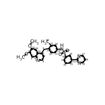 COc1cc2nccc(Cc3ccc(NS(=O)(=O)c4cccc(-c5ncccn5)c4)cc3C)c2cc1OC